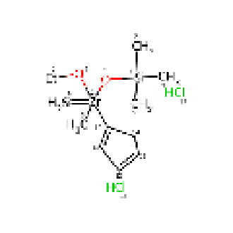 CC[O][Zr]([CH3])(=[SiH2])([O][Si](C)(C)C)[C]1=CC=CC1.Cl.Cl